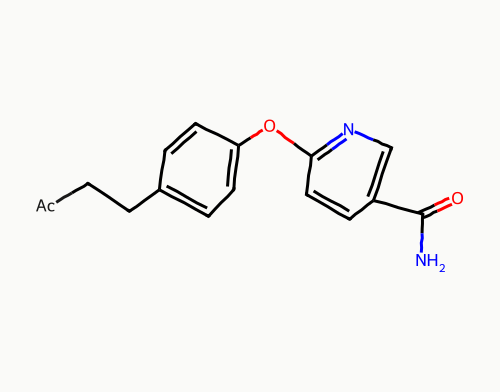 CC(=O)CCc1ccc(Oc2ccc(C(N)=O)cn2)cc1